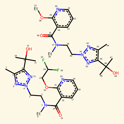 CCN(CCn1nc(C)c(C(C)(C)O)n1)C(=O)c1cccnc1OCC(F)F.CCOc1ncccc1C(=O)N(CC)CCn1nc(C)c(C(C)(C)O)n1